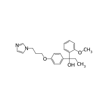 CCC(O)(c1ccc(OCCCn2ccnc2)cc1)c1ccccc1OC